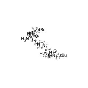 CC(C)(C)CC(C)(C)NC(=O)N(CCCN1CCN(CCCN(C(=N)N)C(=O)NC(C)(C)CC(C)(C)C)CC1)C(=N)N